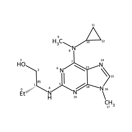 CC[C@H](CO)Nc1nc(N(C)C2CC2)c2ncn(C)c2n1